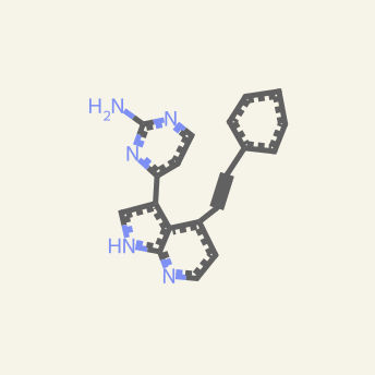 Nc1nccc(-c2c[nH]c3nccc(C#Cc4ccccc4)c23)n1